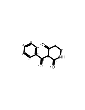 O=C1CCNC(=O)C1C(=O)c1ccccc1